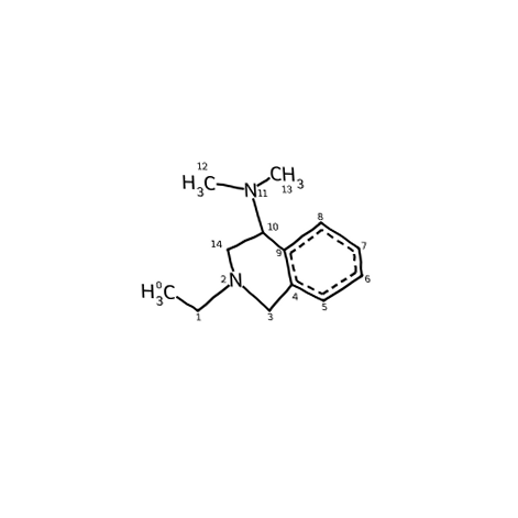 CCN1Cc2ccccc2C(N(C)C)C1